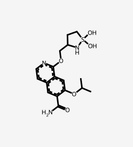 CC(C)Oc1cc2c(OCC3CCS(O)(O)N3)nccc2cc1C(N)=O